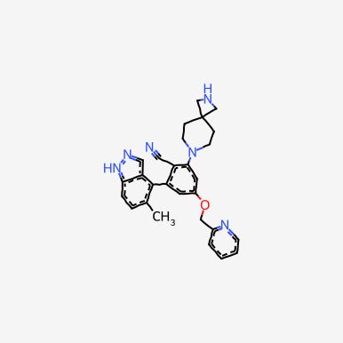 Cc1ccc2[nH]ncc2c1-c1cc(OCc2ccccn2)cc(N2CCC3(CC2)CNC3)c1C#N